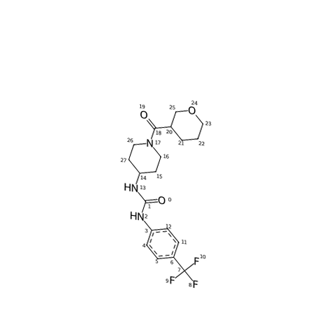 O=C(Nc1ccc(C(F)(F)F)cc1)NC1CCN(C(=O)C2CCCOC2)CC1